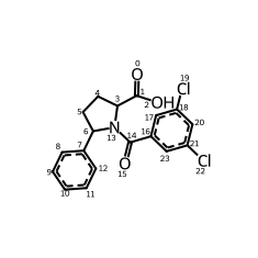 O=C(O)C1CCC(c2ccccc2)N1C(=O)c1cc(Cl)cc(Cl)c1